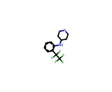 FC(F)(F)C(F)(F)c1ccccc1NC1CC[N]CC1